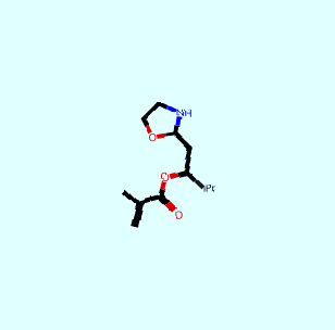 C=C(C)C(=O)OC(CC1NCCO1)C(C)C